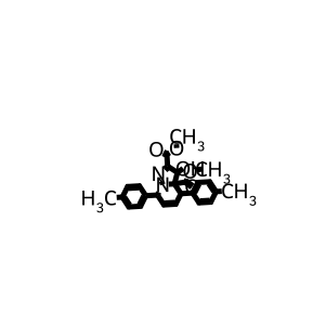 COC(=O)C1=NN2C(c3ccc(C)cc3)C=CC(c3ccc(C)cc3)C2(C(=O)OC)C1O